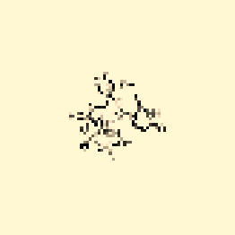 C[C@@H](OC(CCl)(COP(=O)(O)OP(=O)(O)OP(=O)(O)O)[C@@H](O)F)n1ccc(=O)[nH]c1=O